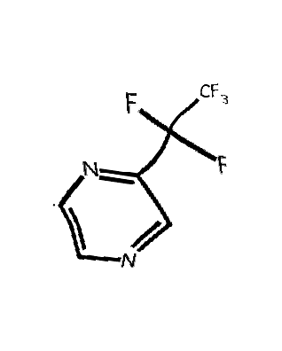 FC(F)(F)C(F)(F)c1cnc[c]n1